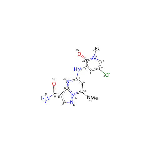 CCn1cc(Cl)cc(Nc2cc(NC)n3ncc(C(N)=O)c3n2)c1=O